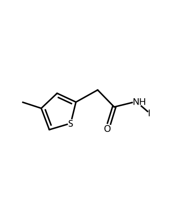 Cc1csc(CC(=O)NI)c1